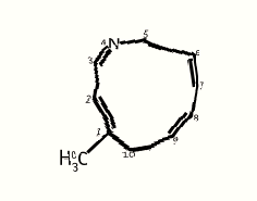 C/C1=C/C=N\C/C=C\C=C/C1